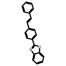 C(=C\c1ccc(-c2nc3ccccc3o2)cc1)/c1ccccc1